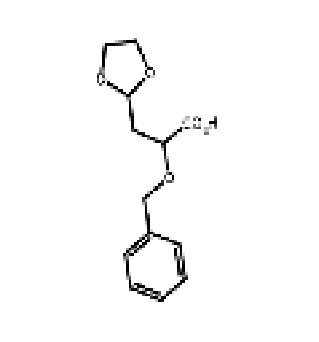 O=C(O)C(CC1OCCO1)OCc1ccccc1